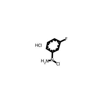 Cl.NN(Cl)c1cccc(F)c1